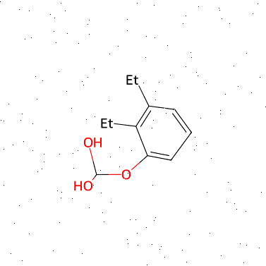 CCc1cccc(OC(O)O)c1CC